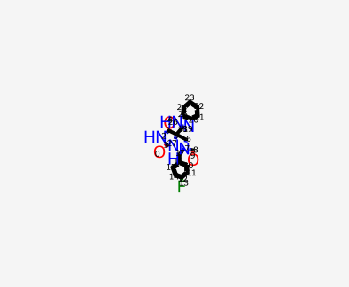 O=C1NC(=O)C(CN2COc3cc(F)ccc3C2)(c2nc3ccccc3[nH]2)N1